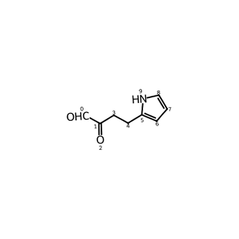 O=CC(=O)CCc1ccc[nH]1